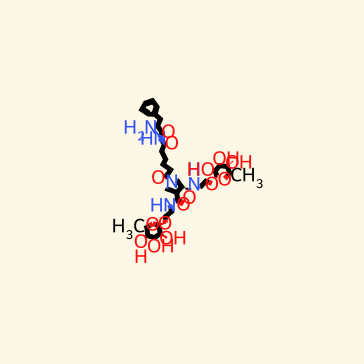 C[C@@H]1O[C@@H](OCCNC(=O)C2CN(C(=O)CCCCC(=O)NC(=O)[C@@H](N)Cc3ccccc3)C[C@@H]2C(=O)NCCO[C@@H]2O[C@@H](C)[C@@H](O)[C@@H](O)[C@@H]2O)[C@@H](O)[C@H](O)[C@@H]1O